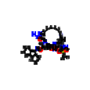 N[C@H]1CCCCC/C=C\[C@@H]2C[C@@]2(C(=O)NS(=O)(=O)C2CC2)NC(=O)[C@@H]2C[C@@H](ON=C3c4ccccc4-c4ccccc43)CN2C1=O